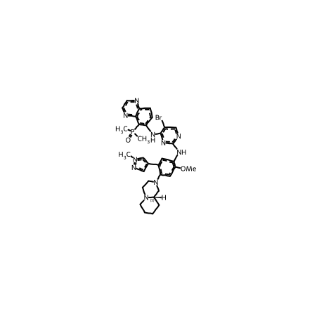 COc1cc(N2CCN3CCCC[C@H]3C2)c(-c2cnn(C)c2)cc1Nc1ncc(Br)c(Nc2ccc3nccnc3c2P(C)(C)=O)n1